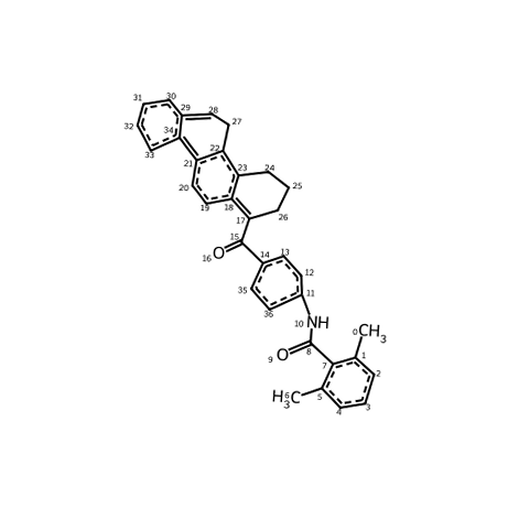 Cc1cccc(C)c1C(=O)Nc1ccc(C(=O)C2=c3ccc4c(c3CCC2)CC=c2ccccc2=4)cc1